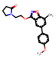 Cc1cc(-c2ccc(OC(F)(F)F)cc2)cc2c(OCCN3CCCC3=O)noc12